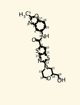 Cc1nc2cc(NC(=O)c3cc4sc(N5CCOC(CO)C5)nc4s3)ccc2o1